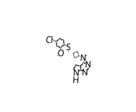 COc1cc(Cl)ccc1SC[C@H]1C[C@@H](N(C)c2ncnc3[nH]ccc23)C1